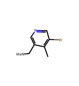 CNCc1cncc(Br)c1C